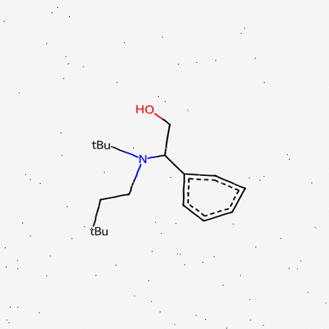 CC(C)(C)CCN(C(CO)c1ccccc1)C(C)(C)C